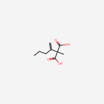 C=C(CCC)C(C)(C(=O)O)C(=O)O